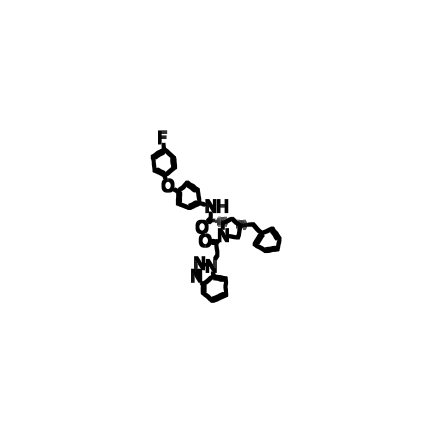 O=C(Nc1ccc(Oc2ccc(F)cc2)cc1)[C@@H]1C[C@@H](Cc2ccccc2)CN1C(=O)Cn1nnc2ccccc21